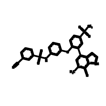 Cn1cc(-c2cc(S(C)(=O)=O)ccc2Oc2cccc(NS(=O)(=O)c3cccc(C#N)c3)c2)c2cc[nH]c2c1=O